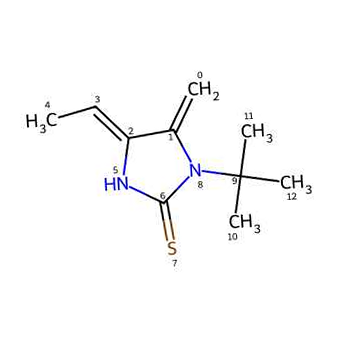 C=c1/c(=C/C)[nH]c(=S)n1C(C)(C)C